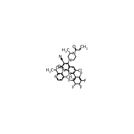 C=CC(=O)N1CCN(c2c(C#N)c(=O)n(-c3c(C)ccnc3C(C)C)c3nc(C4=C(F)C(F)C(F)C(F)=C4F)c(Cl)cc23)C[C@H]1C